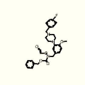 COc1ccc(CN(OC=C=O)C(=O)OCc2ccccc2)cc1N1CCN(Cc2ccc(F)cc2)CC1